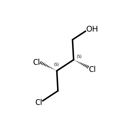 OC[C@H](Cl)[C@@H](Cl)CCl